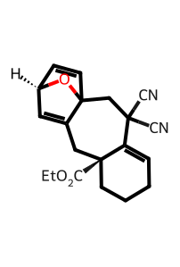 CCOC(=O)[C@]12CCCC=C1C(C#N)(C#N)CC13C=C[C@H](C=C1C2)O3